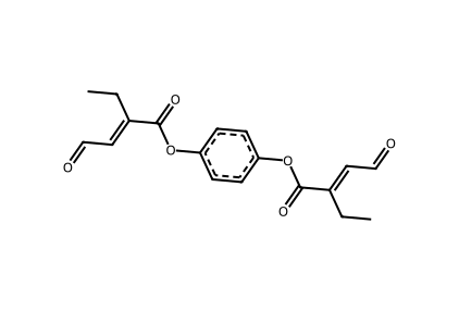 CCC(=CC=O)C(=O)Oc1ccc(OC(=O)C(=CC=O)CC)cc1